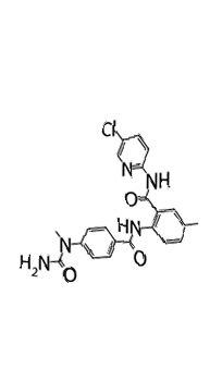 Cc1ccc(NC(=O)c2ccc(N(C)C(N)=O)cc2)c(C(=O)Nc2ccc(Cl)cn2)c1